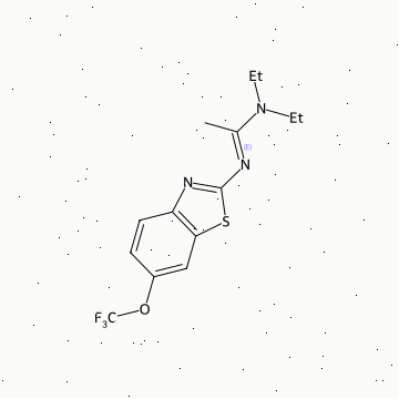 CCN(CC)/C(C)=N/c1nc2ccc(OC(F)(F)F)cc2s1